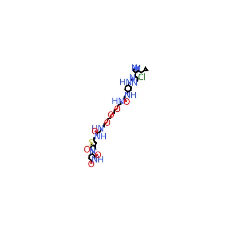 Cn1ncc(-c2nc(NC3CCC(NCC(=O)NCCOCCOCCOCCNCC(=O)NCc4cc5c(s4)C(=O)N(C4CCC(=O)NC4=O)C5)CC3)ncc2Cl)c1CC1CC1